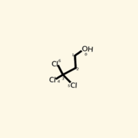 OCCC(Cl)(Cl)Cl